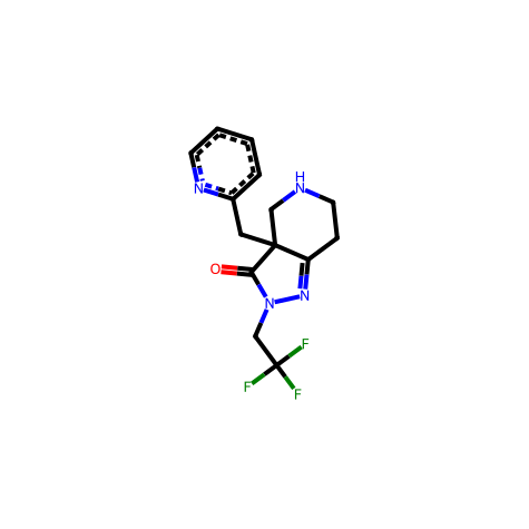 O=C1N(CC(F)(F)F)N=C2CCNCC12Cc1ccccn1